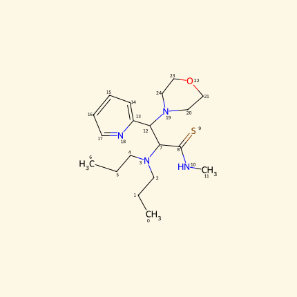 CCCN(CCC)C(C(=S)NC)C(c1ccccn1)N1CCOCC1